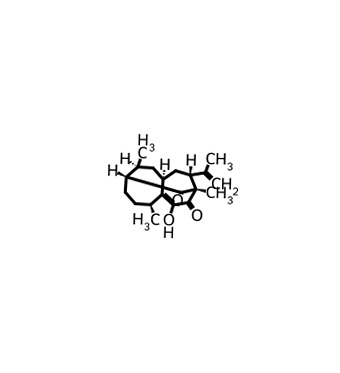 C=C(C)[C@H]1C[C@@H]2C[C@H](C)[C@H]3CC[C@H](C)C2=C(O)C(=O)[C@]1(C)C3=O